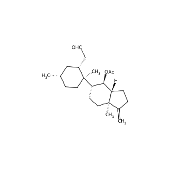 C=C1CC[C@H]2[C@H](OC(C)=O)[C@@H]([C@@]3(C)CC[C@H](C)C[C@@H]3CC=O)CC[C@]12C